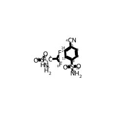 FC(F)C(F)(F)F.N#Cc1ccc(S(N)(=O)=O)cc1.N[SH](=O)=O